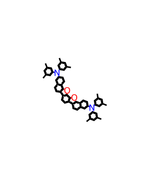 Cc1cc(C)cc(N(c2cc(C)cc(C)c2)c2ccc3c(ccc4c5ccc6c7ccc8cc(N(c9cc(C)cc(C)c9)c9cc(C)cc(C)c9)ccc8c7oc6c5oc34)c2)c1